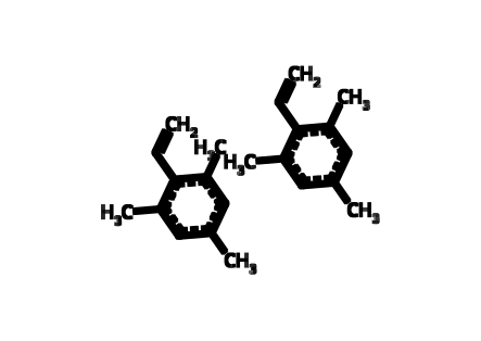 C=Cc1c(C)cc(C)cc1C.C=Cc1c(C)cc(C)cc1C